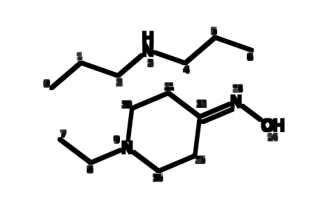 CCCNCCC.CCN1CCC(=NO)CC1